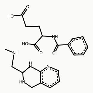 CNCC1NCc2cccnc2N1.O=C(O)CCC(NC(=O)c1ccccc1)C(=O)O